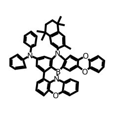 Cc1cc2c(cc1N1c3cc4c(cc3B3c5c(cc(N(c6ccccc6)c6ccccc6)cc51)-c1cccc5c1N3c1ccccc1O5)Oc1ccccc1O4)C(C)(C)CCC2(C)C